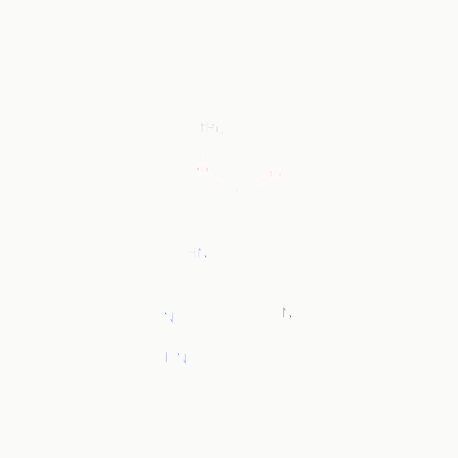 CC(C)(C)OC(=O)CNc1n[nH]cc1C#N